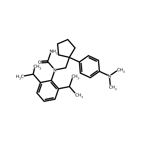 CC(C)c1cccc(C(C)C)c1N(CC1(c2ccc(N(C)C)cc2)CCCC1)C(N)=O